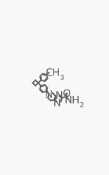 Cc1ccc(C2(c3ccc(N4CCc5ncc(C(N)=O)nc5C4)cc3)CCC2)cc1